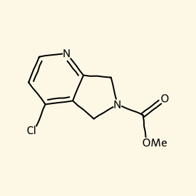 COC(=O)N1Cc2nccc(Cl)c2C1